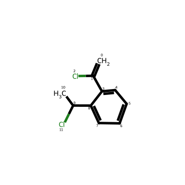 C=C(Cl)c1ccccc1C(C)Cl